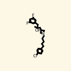 CC(O)(Cc1cc(F)cc(F)c1)CC1CN(CCCCCc2ccc(Cl)cc2)C1